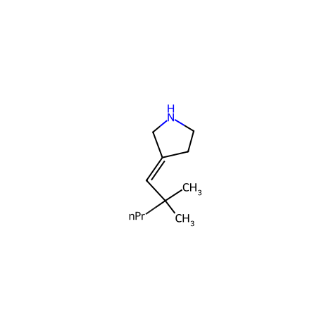 CCCC(C)(C)/C=C1\CCNC1